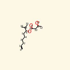 C=CCCCCC(OC(=O)CC(C)=O)C(C)C